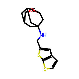 c1cc2cc(CNC34CC5COC(CC(C5)C3)C4)sc2s1